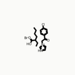 CCCCC(CC)C(=O)O.O=C(C[n+]1cc[nH]c1)c1ccc(Cl)cc1.[Br-]